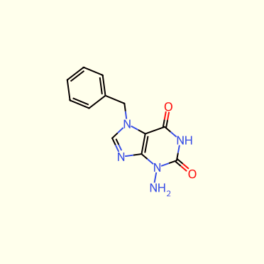 Nn1c(=O)[nH]c(=O)c2c1ncn2Cc1ccccc1